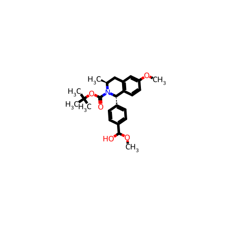 COc1ccc2c(c1)C[C@H](C)N(C(=O)OC(C)(C)C)[C@H]2c1ccc(C(O)OC)cc1